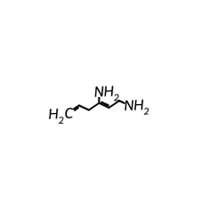 C=CCC(N)=CCN